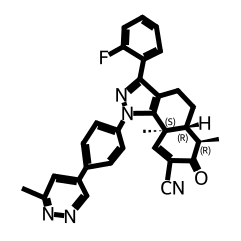 Cc1cc(-c2ccc(-n3nc(-c4ccccc4F)c4c3[C@]3(C)C=C(C#N)C(=O)[C@H](C)[C@H]3CC4)cc2)cnn1